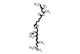 C=C/C=C(\C)CC(C)OC(=O)CCCCc1coc(CC(/C=C(C)/C=C/C(C)=C/CN(C)C)OC=O)n1